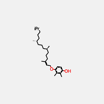 CC(=CCOc1ccc(O)c(C)c1C)CCC[C@H](C)CCC[C@H](C)CCCC(C)C